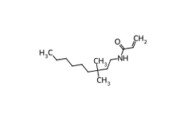 C=CC(=O)NCCC(C)(C)CCCCCC